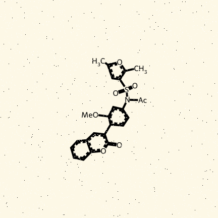 COc1cc(N(C(C)=O)S(=O)(=O)c2cc(C)oc2C)ccc1-c1cc2ccccc2oc1=O